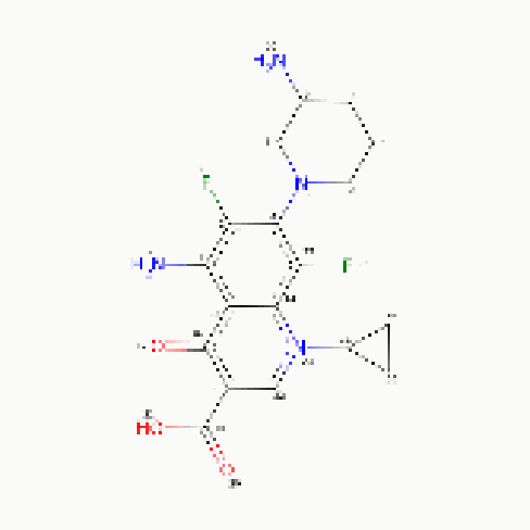 Nc1c(F)c(N2CCCC(N)C2)c(F)c2c1c(=O)c(C(=O)O)cn2C1CC1